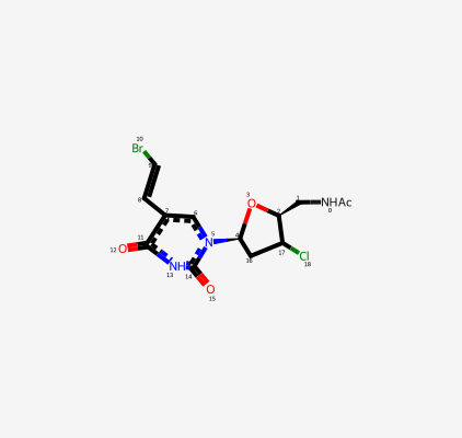 CC(=O)NC[C@@H]1O[C@H](n2cc(/C=C/Br)c(=O)[nH]c2=O)CC1Cl